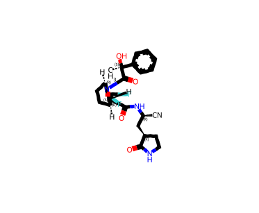 C[C@@](O)(C(=O)N1[C@@H]2CC[C@H]([C@H]1C(=O)N[C@@H](C#N)C[C@H]1CCNC1=O)C(F)(F)C2)c1ccccc1